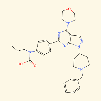 CCCN(C(=O)O)c1ccc(-c2nc(N3CCOCC3)c3cnn(C4CCN(Cc5ccccc5)CC4)c3n2)cc1